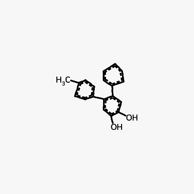 Cc1ccc(-c2cc(O)c(O)cc2-c2ccccc2)cc1